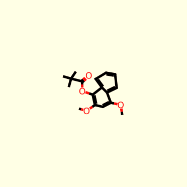 COc1cc(OC)c2ccccc2c1OC(=O)C(C)(C)C